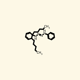 CCCCCC1C=CC=CC1(CCCCC)NN=NNc1ccccc1